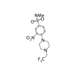 CNS(=O)(=O)c1ccc(N2CCN(CC(F)(F)F)CC2)c([N+](=O)[O-])c1